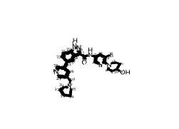 O=C(Nc1cnc(N2CCC(O)CC2)c(F)c1)c1n[nH]c2ccc(-c3cncc(CN4CCCCC4)c3)cc12